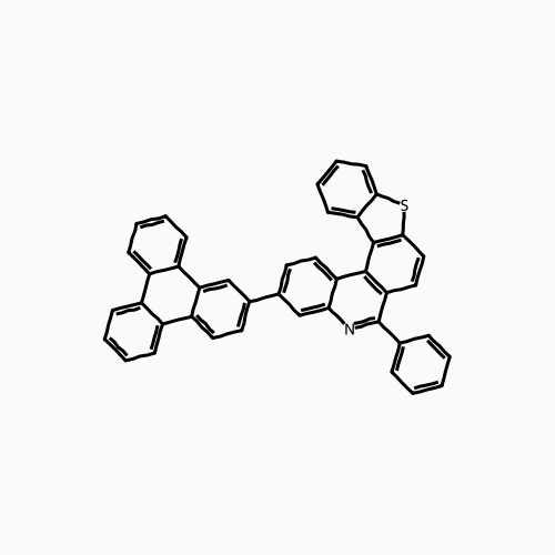 c1ccc(-c2nc3cc(-c4ccc5c6ccccc6c6ccccc6c5c4)ccc3c3c2ccc2sc4ccccc4c23)cc1